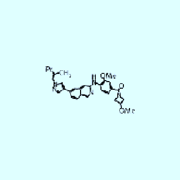 COc1cc(C(=O)N2CC(OC)C2)ccc1Nc1cc2cc(-c3cnn(CC(C)C(C)C)c3)ccc2cn1